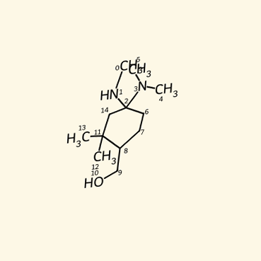 CNC1(N(C)C)CCC(CO)C(C)(C)C1